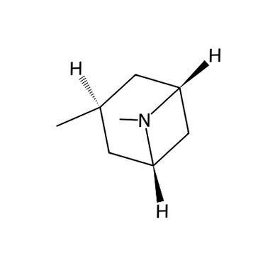 C[C@H]1C[C@@H]2C[C@H](C1)N2C